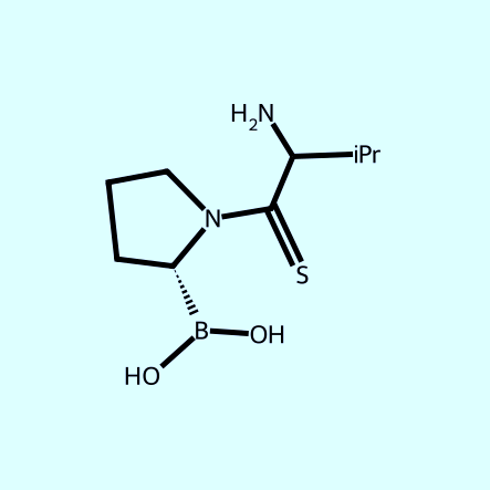 CC(C)C(N)C(=S)N1CCC[C@H]1B(O)O